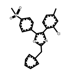 Cc1ccc(-c2nc(Cc3ccccc3)oc2-c2ccc(S(C)(=O)=O)cc2)c(Cl)c1